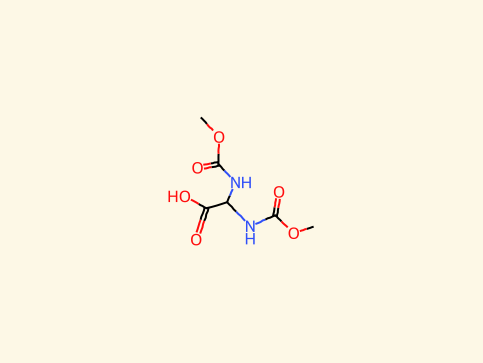 COC(=O)NC(NC(=O)OC)C(=O)O